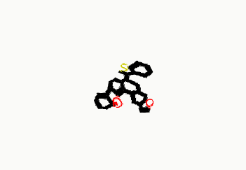 c1ccc2c(c1)oc1c2ccc2c(-c3csc4ccccc34)cc3cc4occc4cc3c21